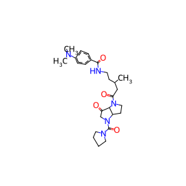 CC(CCNC(=O)c1ccc(N(C)C)cc1)CC(=O)N1CCC2C1C(=O)CN2C(=O)N1CCCC1